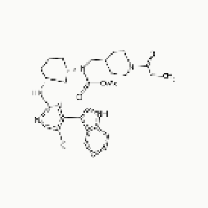 C=CC(=O)N1CCC(CN(C(=O)OC)[C@H]2CCC[C@@H](Nc3ncc(Cl)c(-c4c[nH]c5ccccc45)n3)C2)CC1